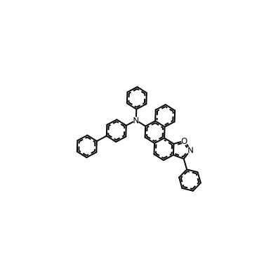 c1ccc(-c2ccc(N(c3ccccc3)c3cc4ccc5c(-c6ccccc6)noc5c4c4ccccc34)cc2)cc1